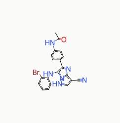 CC(=O)Nc1ccc(-c2nc3c(C#N)c[nH]n3c2Nc2ccccc2Br)cc1